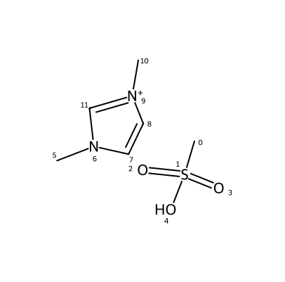 CS(=O)(=O)O.Cn1cc[n+](C)c1